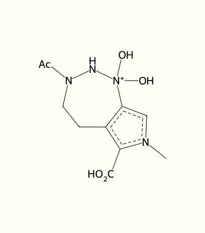 CC(=O)N1CCc2c(cn(C)c2C(=O)O)[N+](O)(O)N1